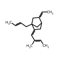 CC=CCC12CC(=CC)C(CC1=CC(C)=CC)C2